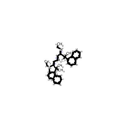 CC\N=C(/C=C/C=C1/N(CC)c2ccc3ccccc3c2C1(C)C)C(C)(C)c1cccc2ccccc12